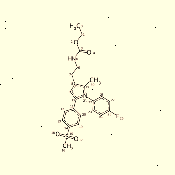 CCOC(=O)NCCc1cc(-c2ccc(S(C)(=O)=O)cc2)n(-c2ccc(F)cc2)c1C